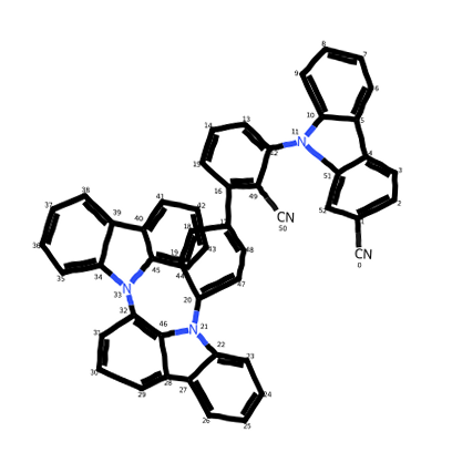 N#Cc1ccc2c3ccccc3n(-c3cccc(-c4ccc(-n5c6ccccc6c6cccc(-n7c8ccccc8c8ccccc87)c65)cc4)c3C#N)c2c1